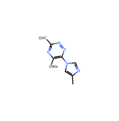 COc1nc(C=O)nnc1-n1cnc(C)c1